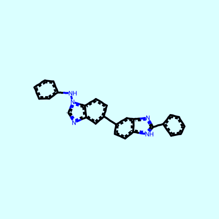 [c]1nc2cc(-c3ccc4[nH]c(-c5ccccc5)nc4c3)ccc2n1Nc1ccccc1